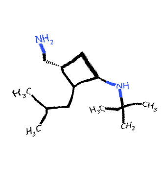 CC(C)CC1[C@H](CN)C[C@H]1NC(C)(C)C